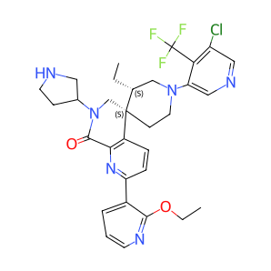 CCOc1ncccc1-c1ccc2c(n1)C(=O)N(C1CCNC1)C[C@]21CCN(c2cncc(Cl)c2C(F)(F)F)C[C@H]1CC